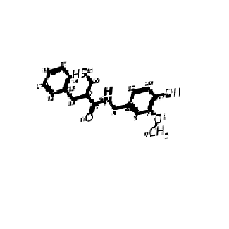 COc1cc(CNC(=O)C(CS)Cc2ccccc2)ccc1O